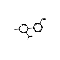 O=Cc1cccc(-c2cnc(Cl)cc2C(=O)O)c1